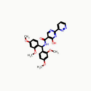 COc1ccc(C(NC(=O)c2cnc(-c3cccnn3)nc2O)c2ccc(OC)cc2OC)c(OC)c1